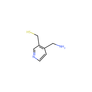 NCc1ccncc1CS